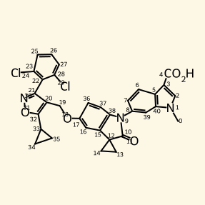 Cn1cc(C(=O)O)c2ccc(N3C(=O)C4(CC4)c4cc(OCc5c(-c6c(Cl)cccc6Cl)noc5C5CC5)ccc43)cc21